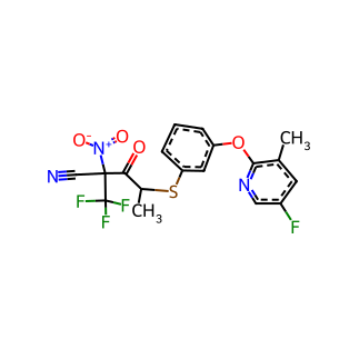 Cc1cc(F)cnc1Oc1cccc(SC(C)C(=O)C(C#N)([N+](=O)[O-])C(F)(F)F)c1